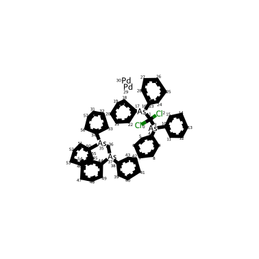 ClC(Cl)([As](c1ccccc1)c1ccccc1)[As](c1ccccc1)c1ccccc1.[Pd].[Pd].c1ccc([As](C[As](c2ccccc2)c2ccccc2)c2ccccc2)cc1